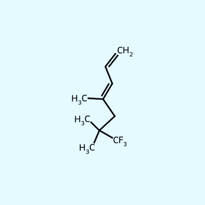 C=C/C=C(\C)CC(C)(C)C(F)(F)F